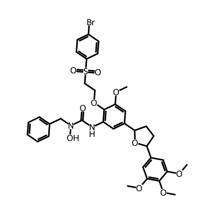 COc1cc(C2CCC(c3cc(OC)c(OC)c(OC)c3)O2)cc(NC(=O)N(O)Cc2ccccc2)c1OCCS(=O)(=O)c1ccc(Br)cc1